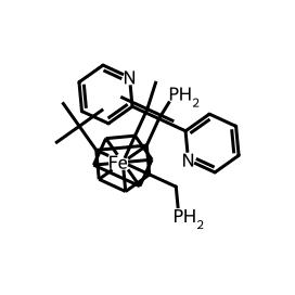 CC(C)(C)[C]12[CH]3[CH]4[CH]5[CH]1[Fe]45321678[CH]2[CH]1[C]6(C(C)(C)C)[C]7(C(P)(c1ccccn1)c1ccccn1)[C]28CP